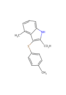 Cc1ccc(Sc2c(C(=O)O)[nH]c3cccc(C)c23)cc1